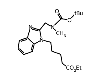 CCOC(=O)CCCCn1c(CN(C)C(=O)OC(C)(C)C)nc2ccccc21